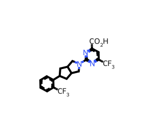 O=C(O)c1cc(C(F)(F)F)nc(N2CC3CC(c4ccccc4C(F)(F)F)CC3C2)n1